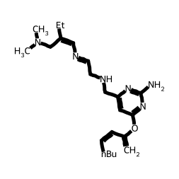 C=C(/C=C\CCCC)Oc1cc(CNC/C=N/C=C(/CC)CN(C)C)nc(N)n1